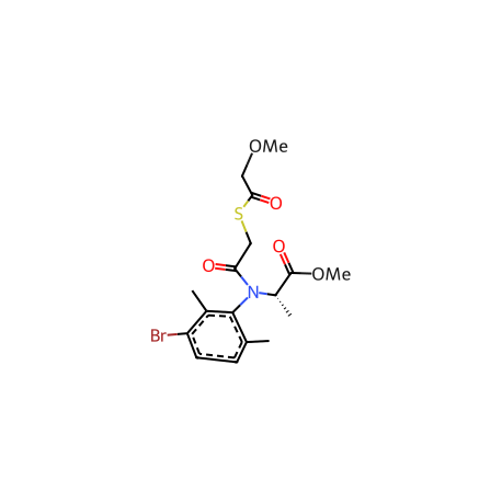 COCC(=O)SCC(=O)N(c1c(C)ccc(Br)c1C)[C@@H](C)C(=O)OC